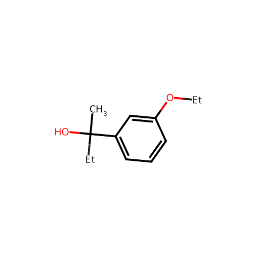 CCOc1cccc(C(C)(O)CC)c1